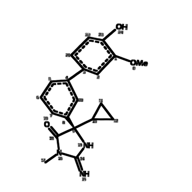 COc1cc(-c2cccc([C@@]3(C4CC4)NC(=N)N(C)C3=O)c2)ccc1O